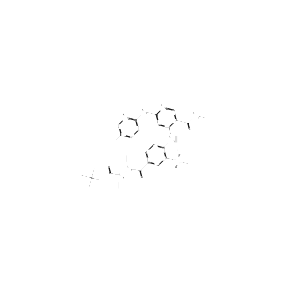 CNC(=O)c1cnc(Nc2ccc(F)cn2)cc1Nc1ccc(C(=O)NNC(=O)OC(C)(C)C)cc1S(C)(=O)=O